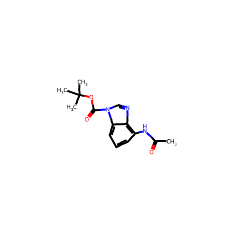 CC(=O)Nc1cccc2c1ncn2C(=O)OC(C)(C)C